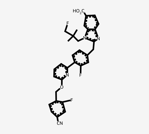 CC(C)(CF)Cn1c(Cc2ccc(-c3cccc(OCc4ccc(C#N)cc4F)n3)c(F)c2)nc2ccc(C(=O)O)cc21